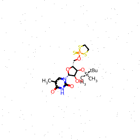 Cc1cn([C@@H]2O[C@H](COP3(=S)SCCS3)[C@@H](O[Si](C)(C)C(C)(C)C)[C@H]2O)c(=O)[nH]c1=O